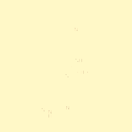 O=CC(NCCCN1CCCCC1)(c1ccccc1)N1CCc2c(cnc3[nH]ncc23)C1